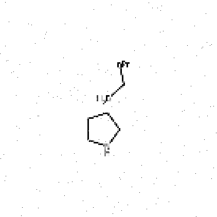 BCCCC.C1CCNC1